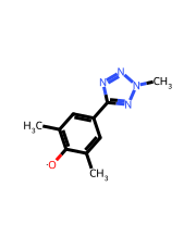 Cc1cc(-c2nnn(C)n2)cc(C)c1[O]